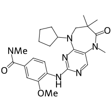 CNC(=O)c1ccc(Nc2ncc3c(n2)N(C2CCCC2)CC(C)(C)C(=O)N3C)c(OC)c1